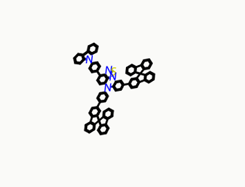 c1ccc2c(c1)-c1ccccc1C21c2ccccc2-c2ccc(-c3ccc(N(c4ccc(-c5ccc6c(c5)C5(c7ccccc7-c7ccccc75)c5ccccc5-6)cc4)c4ccc(-c5ccc(-n6c7ccccc7c7ccccc76)cc5)c5nsnc45)cc3)cc21